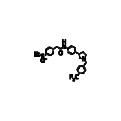 CC[S+]([O-])c1ccc(CC(=O)Nc2ccc(C3CCN(Cc4ccc(C(F)(F)F)cc4)C3)cc2)cc1